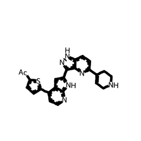 CC(=O)c1ccc(-c2ccnc3[nH]c(-c4n[nH]c5ccc(C6=CCNCC6)nc45)cc23)s1